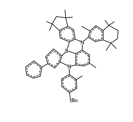 Cc1cc2c3c(c1)N(c1cc4c(cc1C)C(C)(C)CCC4(C)C)c1cc4c(cc1B3c1ccc(-c3ccccc3)cc1N2c1ccc(C(C)(C)C)cc1C)C(C)(C)CC4(C)C